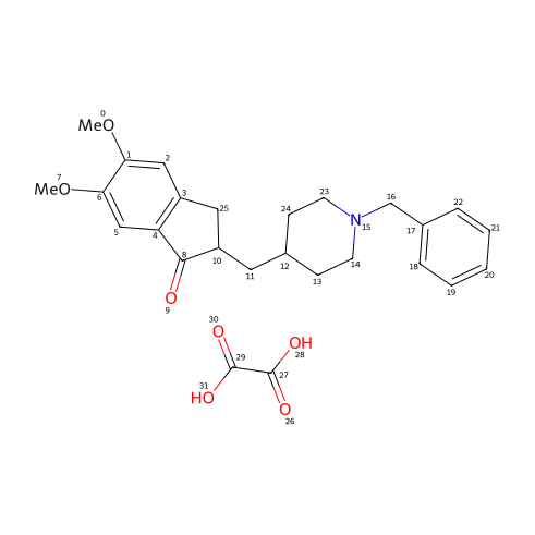 COc1cc2c(cc1OC)C(=O)C(CC1CCN(Cc3ccccc3)CC1)C2.O=C(O)C(=O)O